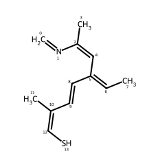 C=N\C(C)=C/C(=C\C)/C=C/C(C)=C\S